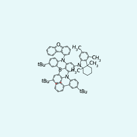 Cc1cc(C)c2c(c1)N(c1cc3c4c(c1)N(c1cccc5oc6ccccc6c15)c1ccc(C(C)(C)C)cc1B4c1cc(C(C)(C)C)ccc1N3c1ccc(C(C)(C)C)cc1-c1ccccc1)C1(C)CCCCC21C